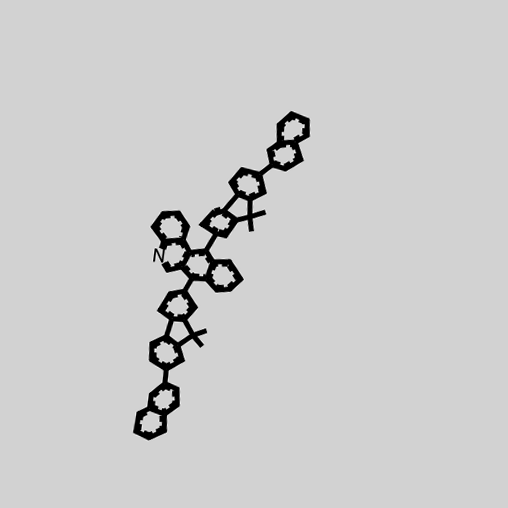 CC1(C)c2cc(-c3ccc4ccccc4c3)ccc2-c2ccc(-c3c4ccccc4c(-c4ccc5c(c4)C(C)(C)c4cc(-c6ccc7ccccc7c6)ccc4-5)c4c3cnc3ccccc34)cc21